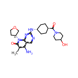 Cc1c(N)c2cnc(N[C@H]3CC[C@H](C(=O)N4CCC(O)CC4)CC3)nc2n([C@@H]2CCOC2)c1=O